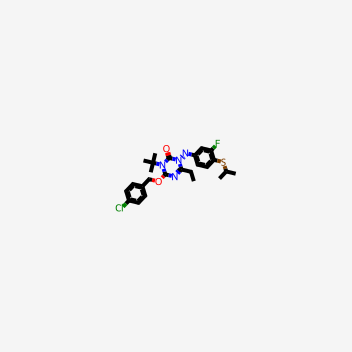 CCC1=NC(OCc2ccc(Cl)cc2)N(C(C)(C)C)C(=O)[N+]1=Nc1ccc(SC(C)C)c(F)c1